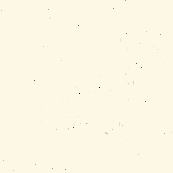 CN(CCOC(=O)Nc1cc(F)c(CO)cc1F)[C@H]1CC[C@H](OC(=O)C(O)(c2cccs2)c2cccs2)CC1